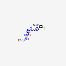 COc1ccc(Cl)cc1N1CCN(CCCNc2nccc(C(=O)NCCNC(=O)O)n2)CC1